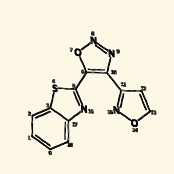 c1ccc2sc(-c3onnc3-c3ccon3)nc2c1